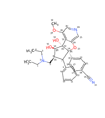 CCN(CC)C[C@@H]1C(c2ccccc2)[C@]2(c3ccc(C#N)cc3)Oc3cncc(OC)c3[C@]2(O)[C@@H]1O